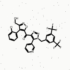 O=C(c1nnn(Cc2cc(C(F)(F)F)cc(C(F)(F)F)c2)c1-c1cccnc1)c1onc(CO)c1-c1ccccc1Cl